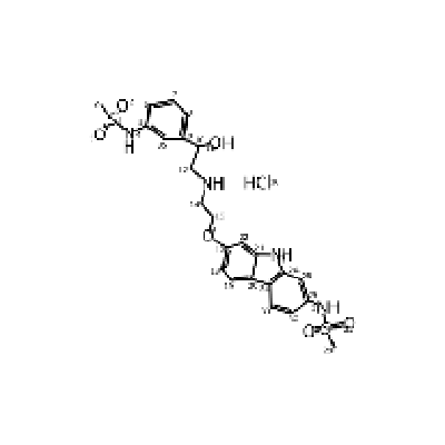 CS(=O)(=O)Nc1cccc(C(O)CNCCOc2ccc3c(c2)[nH]c2cc(NS(C)(=O)=O)ccc23)c1.Cl